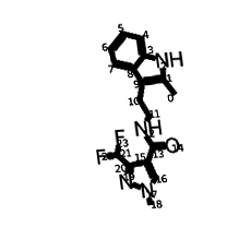 Cc1[nH]c2ccccc2c1CCNC(=O)c1cn(C)nc1C(F)F